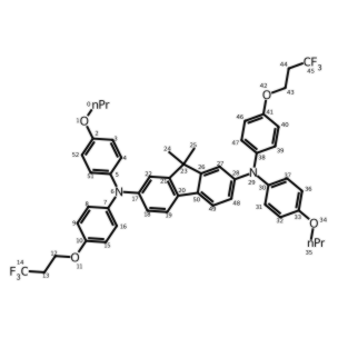 CCCOc1ccc(N(c2ccc(OCCC(F)(F)F)cc2)c2ccc3c(c2)C(C)(C)c2cc(N(c4ccc(OCCC)cc4)c4ccc(OCCC(F)(F)F)cc4)ccc2-3)cc1